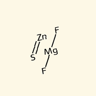 [F][Mg][F].[S]=[Zn]